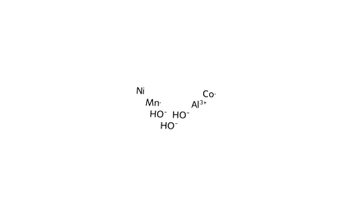 [Al+3].[Co].[Mn].[Ni].[OH-].[OH-].[OH-]